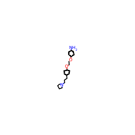 Nc1ccc(OCCOc2ccc(CCCN3CCCC3)cc2)cc1